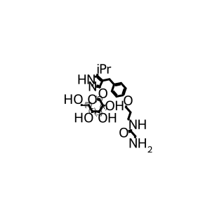 CC(C)c1[nH]nc(O[C@@H]2O[C@H](CO)[C@@H](O)[C@H](O)[C@H]2O)c1Cc1ccc(OCCCNC(=O)CN)cc1